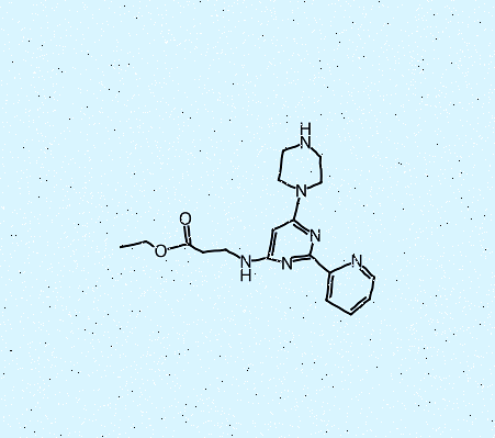 CCOC(=O)CCNc1cc(N2CCNCC2)nc(-c2ccccn2)n1